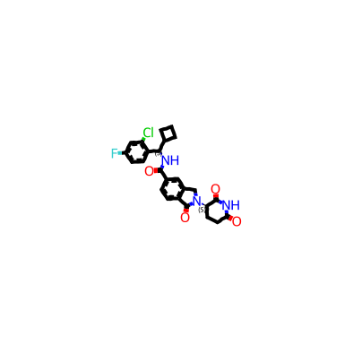 O=C1CC[C@H](N2Cc3cc(C(=O)N[C@H](c4ccc(F)cc4Cl)C4CCC4)ccc3C2=O)C(=O)N1